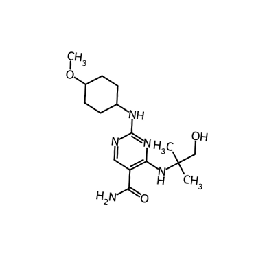 COC1CCC(Nc2ncc(C(N)=O)c(NC(C)(C)CO)n2)CC1